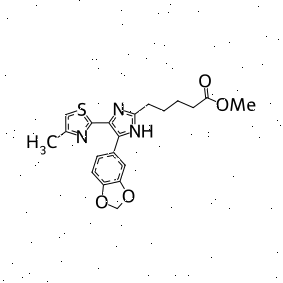 COC(=O)CCCCc1nc(-c2nc(C)cs2)c(-c2ccc3c(c2)OCO3)[nH]1